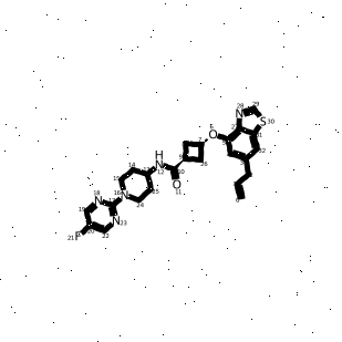 C=CCc1cc(O[C@H]2C[C@H](C(=O)NC3CCN(c4ncc(F)cn4)CC3)C2)c2ncsc2c1